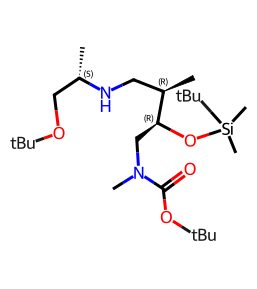 C[C@H](CN[C@@H](C)COC(C)(C)C)[C@H](CN(C)C(=O)OC(C)(C)C)O[Si](C)(C)C(C)(C)C